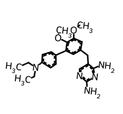 CCN(CC)c1ccc(-c2cc(Cc3cnc(N)nc3N)cc(OC)c2OC)cc1